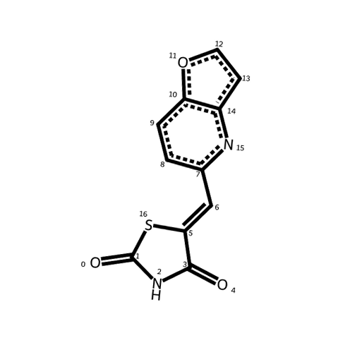 O=C1NC(=O)C(=Cc2ccc3occc3n2)S1